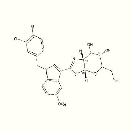 COc1ccc2c(c1)c(C1=N[C@@H]3C(O)[C@H](O)C(CO)O[C@@H]3O1)cn2Cc1ccc(Cl)c(Cl)c1